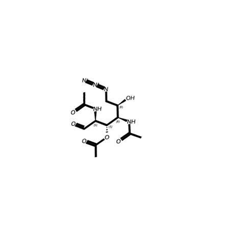 CC(=O)N[C@@H]([C@H](OC(C)=O)[C@@H](C=O)NC(C)=O)[C@H](O)CN=[N+]=[N-]